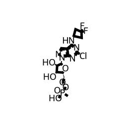 CP(=O)(O)OOC[C@H]1O[C@@H](n2ncc3c(NC4CC(F)(F)C4)nc(Cl)nc32)[C@H](O)[C@@H]1O